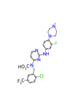 CN1CCN(c2ccc(Nc3nccc(N(Cc4cc(C(F)(F)F)ccc4Cl)C(=O)O)n3)cc2F)CC1